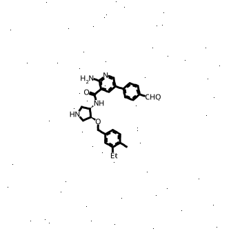 CCc1cc(CO[C@H]2CNC[C@@H]2NC(=O)c2cc(-c3ccc(C=O)cc3)cnc2N)ccc1C